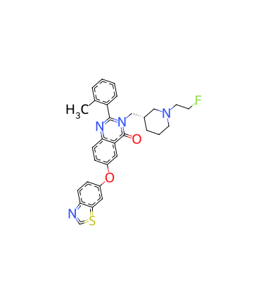 Cc1ccccc1-c1nc2ccc(Oc3ccc4ncsc4c3)cc2c(=O)n1C[C@H]1CCCN(CCF)C1